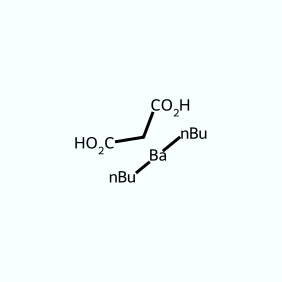 CCC[CH2][Ba][CH2]CCC.O=C(O)CC(=O)O